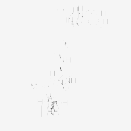 COC(COP(O)OP(=O)(O)OP(=O)(O)O)C(O)Cn1cc(C#CCNC(=O)CCSSCCCCC(=O)NC(CC(=O)O)C(=O)NC(CC(=O)O)C(=O)O)c(=O)[nH]c1=O